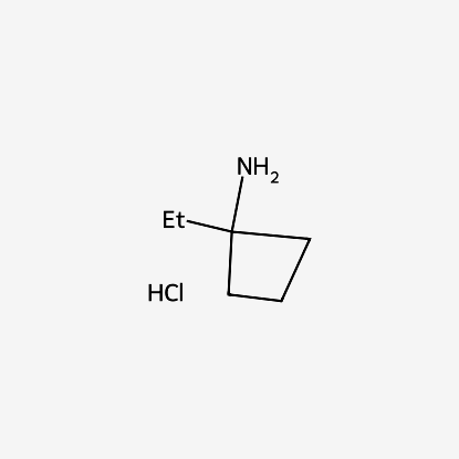 CCC1(N)CCC1.Cl